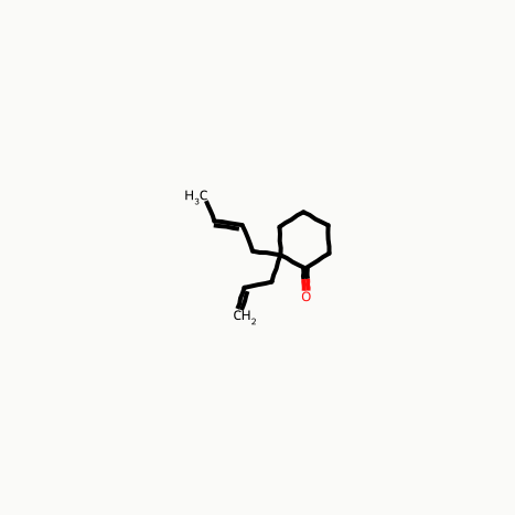 C=CCC1(C/C=C/C)CCCCC1=O